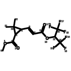 COC(=O)C1C(C=CC(=O)OC(C(F)(F)F)C(F)(F)F)C1(C)C